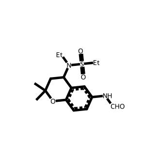 CCN(C1CC(C)(C)Oc2ccc(NC=O)cc21)S(=O)(=O)CC